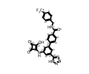 O=C(NCc1ccc(C(F)(F)F)cc1)c1ccc(-c2cc(Nc3c(O)c(=O)c3=O)cc(-c3nnn[nH]3)c2)cc1